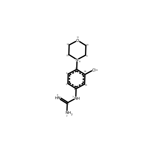 N=C(N)Nc1ccc(N2CCOCC2)c(Cl)c1